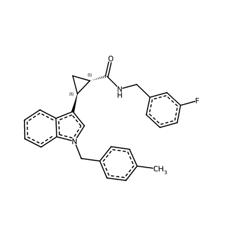 Cc1ccc(Cn2cc([C@H]3C[C@@H]3C(=O)NCc3cccc(F)c3)c3ccccc32)cc1